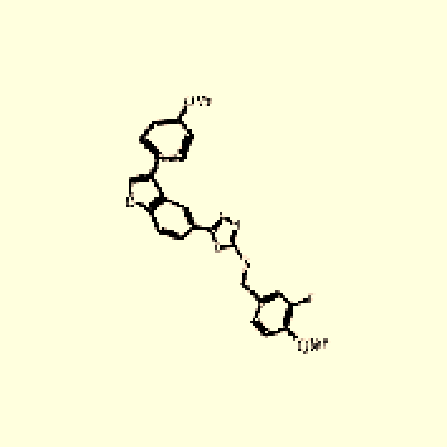 COc1ccc(-c2coc3ccc(-c4nnc(SCc5ccc(OC)c(F)c5)o4)cc23)cc1